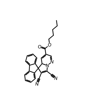 CCCCCOC(=O)C1=CC2N(N=C1)C(C#N)=C(C#N)C21c2ccccc2-c2ccccc21